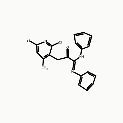 Cc1cc(Cl)nc(Cl)c1CC(=O)C(=Nc1ccccc1)Nc1ccccc1